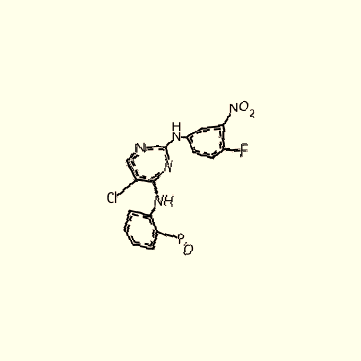 O=Pc1ccccc1Nc1nc(Nc2ccc(F)c([N+](=O)[O-])c2)ncc1Cl